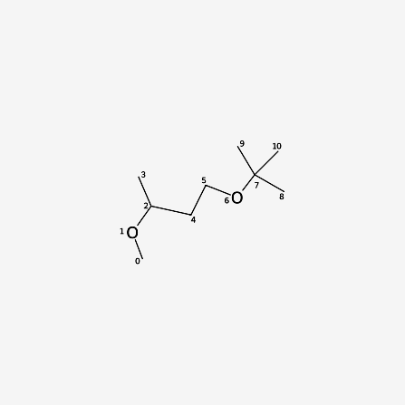 COC(C)CCOC(C)(C)C